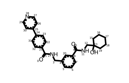 O=C(NCc1cccc(C(=O)NCC2(O)CCCCC2)c1)c1ccc(-c2ccncc2)cc1